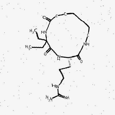 CCC1(CC)NC(=O)CCCCCCNC(=O)[C@H](CCCNC(=N)N)NC1=O